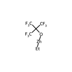 [CH2][CH2][Zn][O]C(C(F)(F)F)(C(F)(F)F)C(F)(F)F